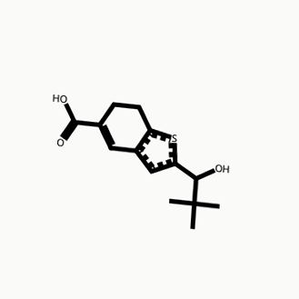 CC(C)(C)C(O)c1cc2c(s1)CCC(C(=O)O)=C2